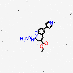 CCOC(=O)C1=Cc2cc(-c3ccncc3)ccc2NC(N=NN)C1